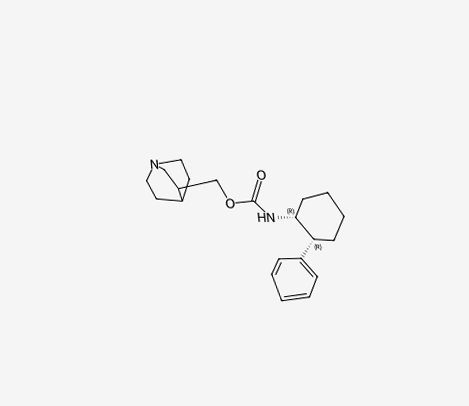 O=C(N[C@@H]1CCCC[C@@H]1c1ccccc1)OCC1CN2CCC1CC2